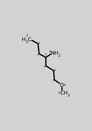 CCCC(N)CCCOC